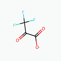 [O]C(=O)C(=O)C(F)(F)F